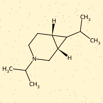 CC(C)C1[C@H]2CCN(C(C)C)C[C@@H]12